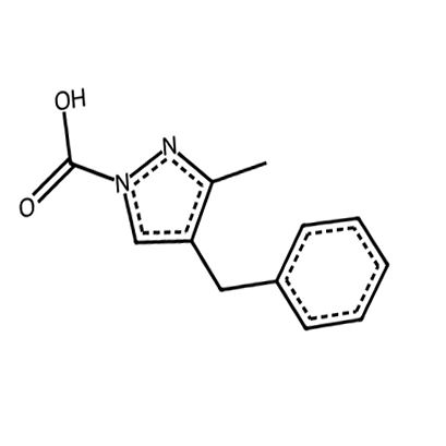 Cc1nn(C(=O)O)cc1Cc1ccccc1